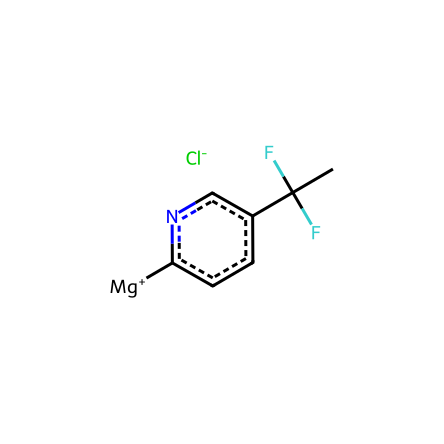 CC(F)(F)c1cc[c]([Mg+])nc1.[Cl-]